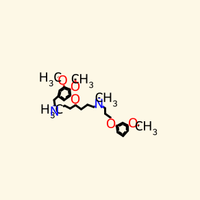 CCCC(CCCN(C)CCCOc1cccc(OC)c1)Oc1cc(CC#N)cc(OC)c1OC